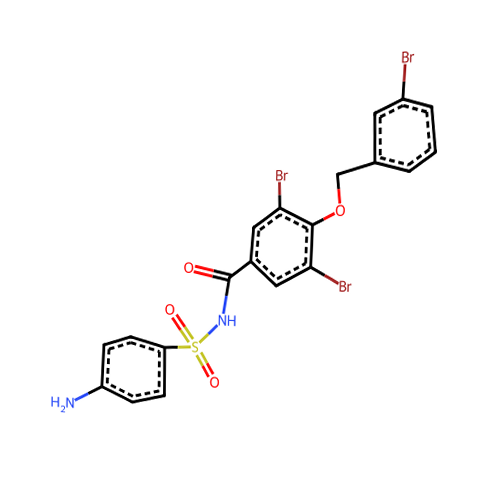 Nc1ccc(S(=O)(=O)NC(=O)c2cc(Br)c(OCc3cccc(Br)c3)c(Br)c2)cc1